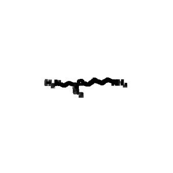 NCCCCO[SiH2]CCN